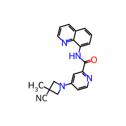 CC1(C#N)CN(c2ccnc(C(=O)Nc3cccc4cccnc34)c2)C1